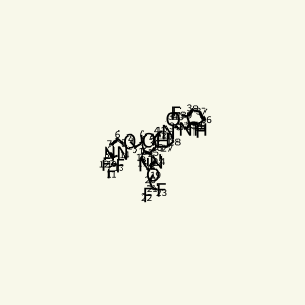 CC(O)(COc1ccnc(C(F)(F)F)n1)c1cnc(OCC(F)F)nc1C1CCN(C(=O)Nc2c(F)cccc2F)CC1